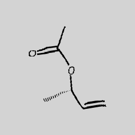 C=C[C@H](C)OC(C)=O